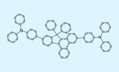 c1ccc(N(c2ccccc2)c2ccc(-c3ccc4c(c3)C(c3ccccc3)(c3ccccc3)c3c-4c4ccccc4c4cc(-c5ccc(N(c6ccccc6)c6ccccc6)cc5)ccc34)cc2)cc1